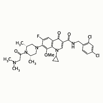 COc1c(N2C[C@@H](C)N(C(=O)CN(C)C)[C@@H](C)C2)c(F)cc2c(=O)c(C(=O)NCc3ccc(Cl)cc3Cl)cn(C3CC3)c12